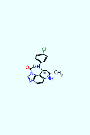 CC(=O)n1cnc2ccc3c(c21)[C@H](Nc1ccc(Cl)cc1)C[C@H](C)N3